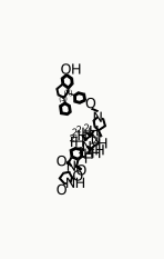 [2H]C1([2H])N(CC2CCN(CCOc3ccc([C@@H]4c5ccc(O)cc5CC[C@@H]4c4ccccc4)cc3)CC2)C([2H])([2H])C([2H])([2H])N(c2c(F)cc3c(c2F)C(=O)N(C2CCC(=O)NC2=O)C3=O)C1([2H])[2H]